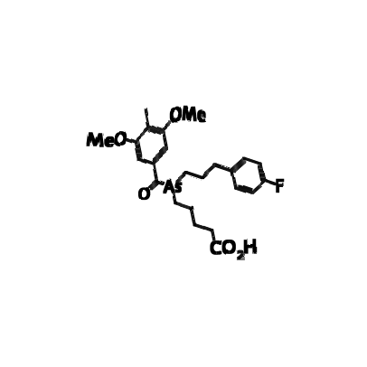 COc1cc(C(=O)[As](CCCCC(=O)O)CCCc2ccc(F)cc2)cc(OC)c1C